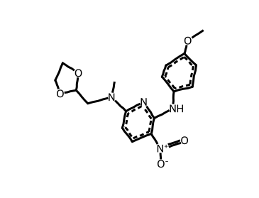 COc1ccc(Nc2nc(N(C)CC3OCCO3)ccc2[N+](=O)[O-])cc1